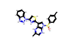 Cc1ccc([S+]([O-])n2cc(-c3nc(-n4nnc5ccccc54)cs3)c3nc(C)cnc32)cc1